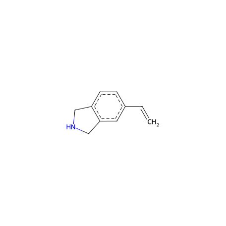 C=Cc1ccc2c(c1)CNC2